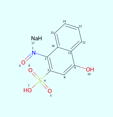 O=Nc1c(S(=O)(=O)O)cc(O)c2ccccc12.[NaH]